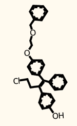 Oc1ccc(/C(CCCl)=C(\c2ccccc2)c2ccc(OCCOCc3ccccc3)cc2)cc1